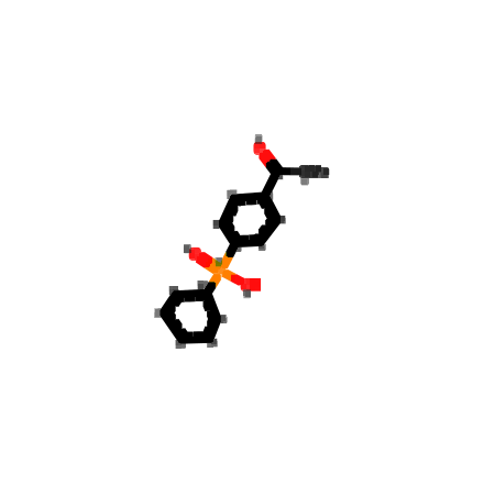 COC(=O)c1ccc(P(=O)(O)c2ccccc2)cc1